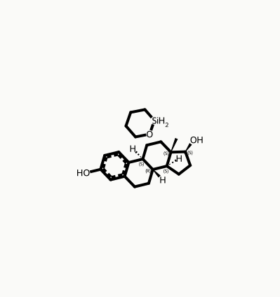 C1CC[SiH2]OC1.C[C@]12CC[C@@H]3c4ccc(O)cc4CC[C@H]3[C@@H]1CC[C@@H]2O